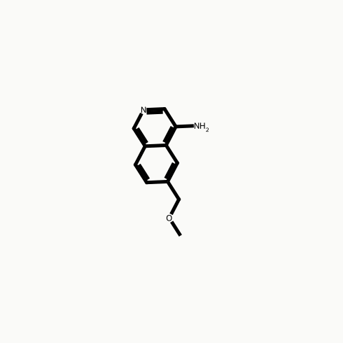 COCc1ccc2cncc(N)c2c1